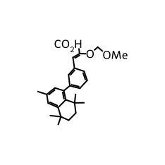 COCOC(=Cc1cccc(-c2cc(C)cc3c2C(C)(C)CCC3(C)C)c1)C(=O)O